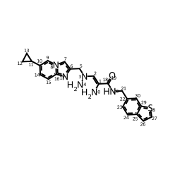 N/C(=C\N(N)Cc1cn2cc(C3CC3)ccc2n1)C(=O)NCc1ccc2ccsc2c1